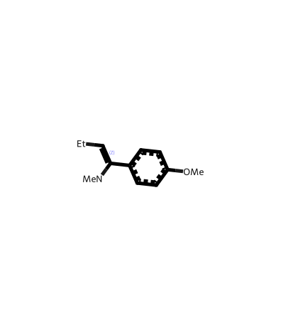 CC/C=C(\NC)c1ccc(OC)cc1